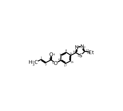 C/C=C/C(=O)Oc1ccc(-c2nnc(CC)s2)cc1